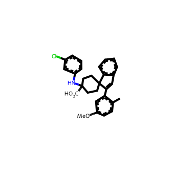 COc1ccc(C)c(C2=Cc3ccccc3C23CCC(Nc2cccc(Cl)c2)(C(=O)O)CC3)c1